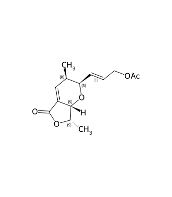 CC(=O)OC/C=C/[C@H]1O[C@H]2C(=C[C@H]1C)C(=O)O[C@H]2C